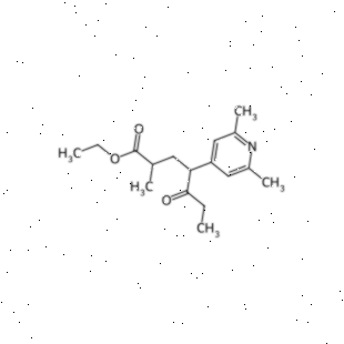 CCOC(=O)C(C)CC(C(=O)CC)c1cc(C)nc(C)c1